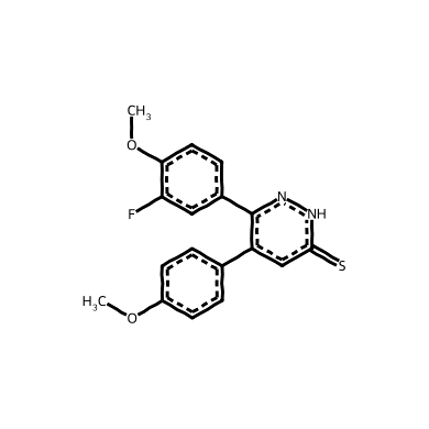 COc1ccc(-c2cc(=S)[nH]nc2-c2ccc(OC)c(F)c2)cc1